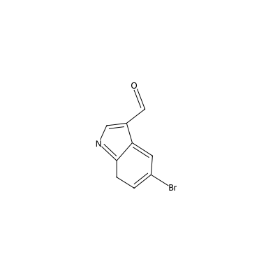 O=CC1=CN=C2CC=C(Br)C=C12